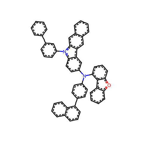 c1ccc(-c2cccc(-n3c4ccc(N(c5ccc(-c6cccc7ccccc67)cc5)c5cccc6oc7ccccc7c56)cc4c4cc5ccccc5cc43)c2)cc1